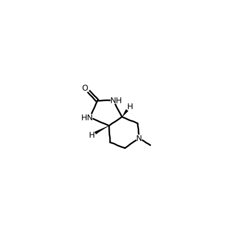 CN1CC[C@@H]2NC(=O)N[C@@H]2C1